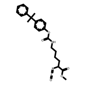 COC(=O)C(CCCCNC(=O)Oc1ccc(C(C)(C)c2ccccc2)cc1)N=C=O